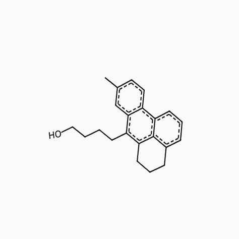 Cc1ccc2c(c1)c(CCCCO)c1c3c(cccc32)CCC1